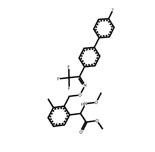 CONC(C(=O)OC)c1cccc(C)c1CO/N=C(/c1ccc(-c2ccc(F)cc2)cc1)C(F)(F)F